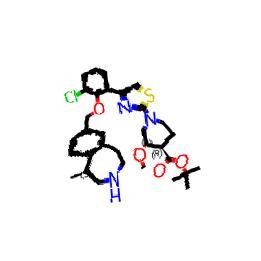 CO[C@H]1CN(c2nc(-c3cccc(Cl)c3OCc3ccc4c(c3)CCNC[C@H]4C)cs2)CC[C@H]1C(=O)OC(C)(C)C